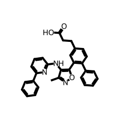 Cc1noc(-c2cc(CCC(=O)O)ccc2-c2ccccc2)c1Nc1cccc(-c2ccccc2)n1